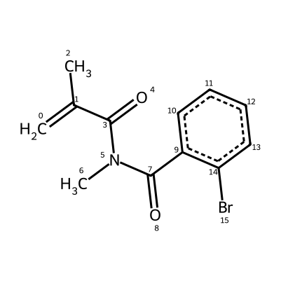 C=C(C)C(=O)N(C)C(=O)c1ccccc1Br